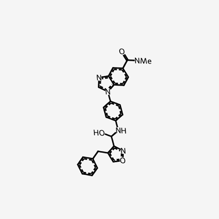 CNC(=O)c1ccc2c(c1)ncn2-c1ccc(NC(O)c2nocc2Cc2ccccc2)cc1